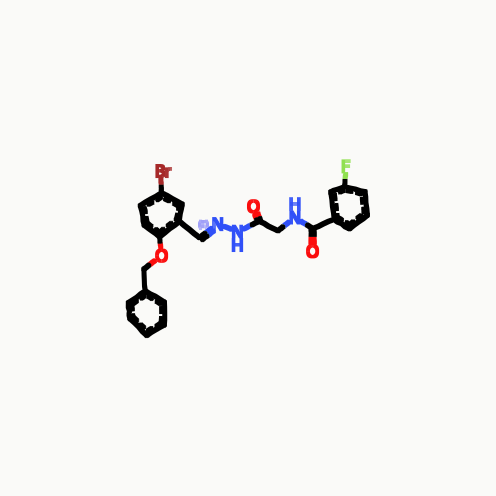 O=C(CNC(=O)c1cccc(F)c1)N/N=C/c1cc(Br)ccc1OCc1ccccc1